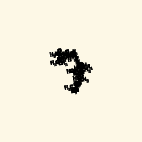 Cc1ncsc1-c1ccc([C@H](C)NC(=O)[C@@H]2C[C@@H](O)CN2C(=O)[C@@H](NC(=O)CCCCc2cccc(NC(=O)C(CCC(N)=O)NC(=O)OC(C)(C)C)c2)C(C)(C)C)cc1